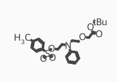 Cc1ccc(S(=O)(=O)OCCN(CCOCC(=O)OC(C)(C)C)c2ccccc2)cc1